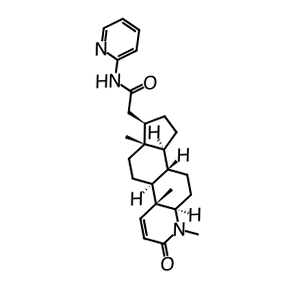 CN1C(=O)C=C[C@]2(C)[C@H]3CC[C@]4(C)[C@@H](CC(=O)Nc5ccccn5)CC[C@H]4[C@@H]3CC[C@@H]12